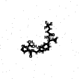 CC(C)n1nccc1C(=O)NCc1cn2ncc(C(NC(=O)CCC(F)(F)F)C3CC3)cc2n1